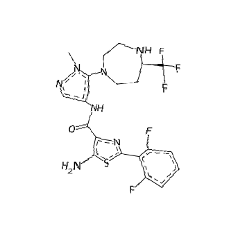 Cn1ncc(NC(=O)c2nc(-c3c(F)cccc3F)sc2N)c1N1CCN[C@@H](C(F)(F)F)CC1